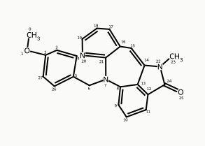 COc1ccc(CN2c3cccc4c3C(=Cc3cccnc32)N(C)C4=O)cc1